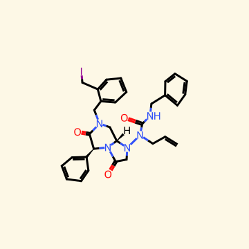 C=CCN(C(=O)NCc1ccccc1)N1CC(=O)N2[C@@H](c3ccccc3)C(=O)N(Cc3ccccc3CI)C[C@@H]21